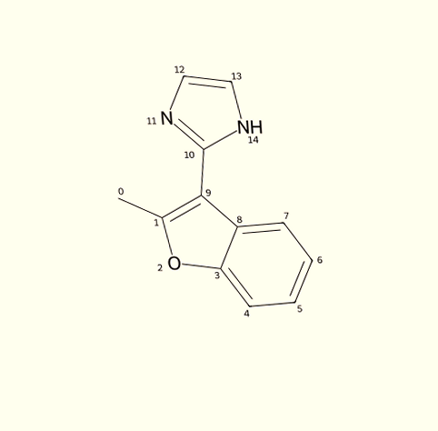 Cc1oc2ccccc2c1-c1ncc[nH]1